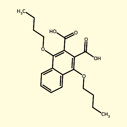 CCCCOc1c(C(=O)O)c(C(=O)O)c(OCCCC)c2ccccc12